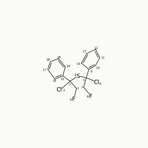 FCC(Cl)(SC(Cl)(CF)c1ccccc1)c1ccccc1